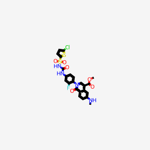 CNc1ccc2c(=O)n(-c3ccc(NC(=O)NS(=O)(=O)c4ccc(Cl)s4)cc3F)cc(C(=O)OC)c2c1